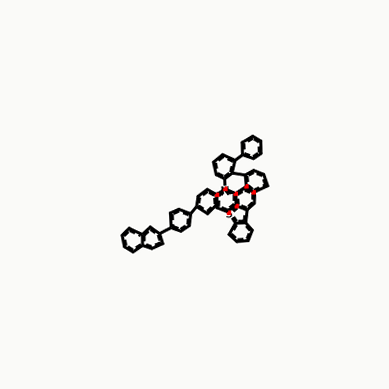 c1ccc(-c2ccccc2-c2c(-c3ccccc3)cccc2N(c2ccc(-c3ccc(-c4ccc5ccccc5c4)cc3)cc2)c2cccc3c2sc2ccccc23)cc1